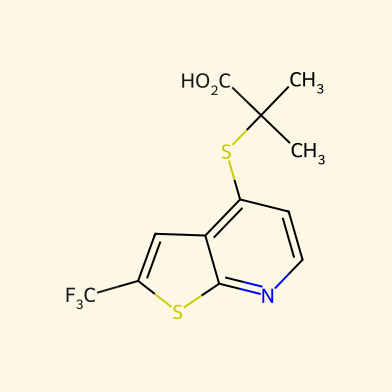 CC(C)(Sc1ccnc2sc(C(F)(F)F)cc12)C(=O)O